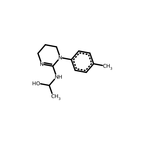 Cc1ccc(N2CCCN=C2NC(C)O)cc1